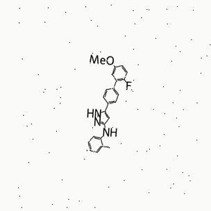 COc1ccc(F)c(-c2ccc(-c3cc(Nc4cc[c]cc4C)n[nH]3)cc2)c1